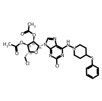 CC(=O)O[C@@H]1[C@H](OC(C)=O)[C@@H](CCl)O[C@H]1n1cnc2c(NN3CCC(Sc4ccccc4)CC3)nc(Cl)nc21